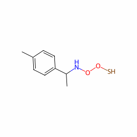 Cc1ccc(C(C)NOOS)cc1